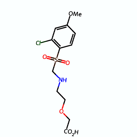 COc1ccc(S(=O)(=O)CNCCOCC(=O)O)c(Cl)c1